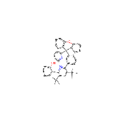 CC(C)(C)c1cc(C(C)(C)C)c(-c2ccccc2O)nc1-c1cccc(C2(c3ccccn3)c3ccccc3Oc3ccccc32)c1